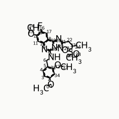 COc1ccc(CNc2nc3cc(OC)c(F)cc3c3nc(C[C@@H](C)S(C)(=O)=O)nn23)c(OC)c1